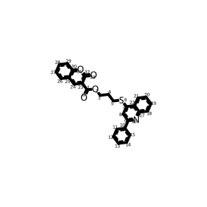 O=C(OCCCSc1cc(-c2ccccc2)nc2ccccc12)c1cc2ccccc2oc1=O